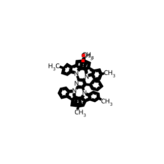 Cc1ccc2c(c1)c1cc(C)ccc1n2-c1nc(-n2c3ccccc3c3ccccc32)c(-n2c3ccc(C)cc3c3cc(C)ccc32)c(-c2ccccc2)c1-n1c2ccc(C)cc2c2cc(C)ccc21